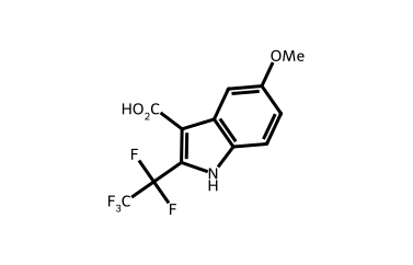 COc1ccc2[nH]c(C(F)(F)C(F)(F)F)c(C(=O)O)c2c1